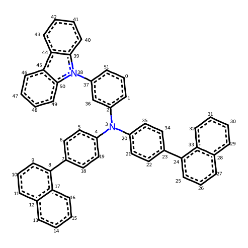 c1cc(N(c2ccc(-c3cccc4ccccc34)cc2)c2ccc(-c3cccc4ccccc34)cc2)cc(-n2c3ccccc3c3ccccc32)c1